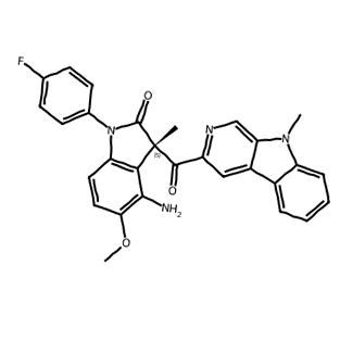 COc1ccc2c(c1N)[C@@](C)(C(=O)c1cc3c4ccccc4n(C)c3cn1)C(=O)N2c1ccc(F)cc1